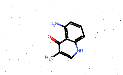 Cc1c[nH]c2cccc(N)c2c1=O